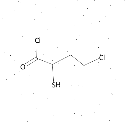 O=C(Cl)C(S)CCCl